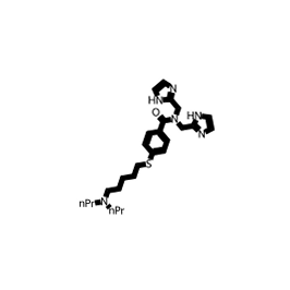 CCCN(CCC)CCCCCSc1ccc(C(=O)N(Cc2ncc[nH]2)Cc2ncc[nH]2)cc1